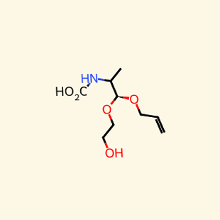 C=CCO[C@@H](OCCO)C(C)NC(=O)O